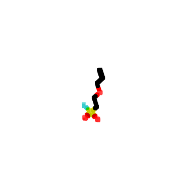 C=CCOCCS(=O)(=O)F